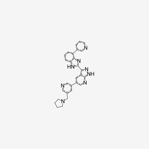 c1cncc(-c2cccc3[nH]c(-c4n[nH]c5ncc(-c6cncc(CN7CCCC7)c6)cc45)nc23)c1